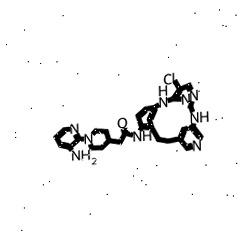 Nc1cccnc1N1CCC(CC(=O)Nc2ccc3cc2CCc2cncc(c2)Nc2ncc(Cl)c(n2)N3)CC1